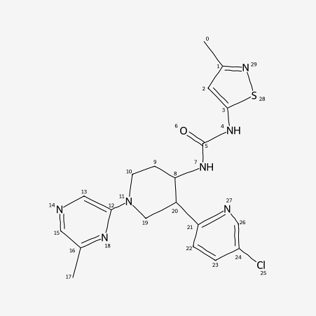 Cc1cc(NC(=O)NC2CCN(c3cncc(C)n3)CC2c2ccc(Cl)cn2)sn1